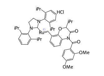 COc1ccc(C(=O)N2C(=O)C(C(C)C)Oc3c(/[CH]=[Ru]/[CH]4N(c5c(C(C)C)cccc5C(C)C)CCN4c4c(C(C)C)cccc4C(C)C)cccc32)c(OC)c1.Cl